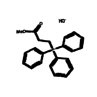 COC(=O)CC[P+](c1ccccc1)(c1ccccc1)c1ccccc1.[OH-]